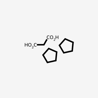 C1CCCC1.C1CCCC1.O=C(O)CC(=O)O